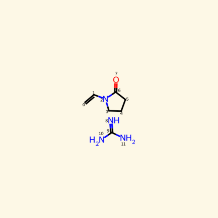 C=CN1CCCC1=O.N=C(N)N